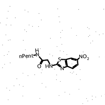 CCCCCNC(=O)CNc1nc2ccc([N+](=O)[O-])cc2s1